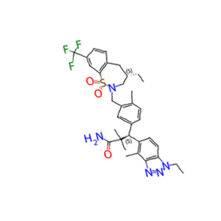 CC[C@H]1Cc2ccc(C(F)(F)F)cc2S(=O)(=O)N(Cc2cc([C@@H](c3ccc4c(nnn4CC)c3C)C(C)(C)C(N)=O)ccc2C)C1